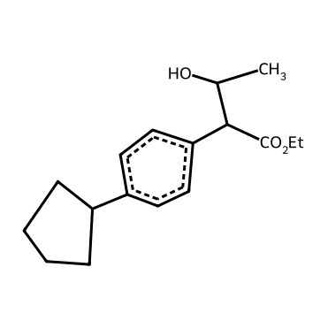 CCOC(=O)C(c1ccc(C2CCCC2)cc1)C(C)O